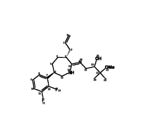 C=CC[C@H]1CC[C@H](c2cccc(F)c2F)CN/C1=N\CC(O)C(C)(C)OC